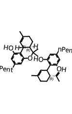 C=C(C)[C@@H]1CCC(C)=CC1c1c(O)cc(CCCCC)cc1O.CCCCCc1cc(O)c2c(c1)OC(C)(C)[C@@H]1CCC(C)=C[C@@H]21